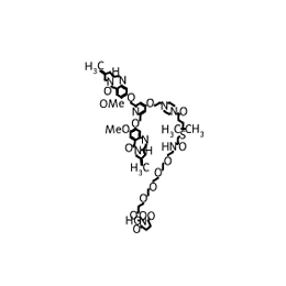 C/C=C1\C[C@H]2C=Nc3cc(OCc4cc(OCCN5CCN(C(=O)CCC(C)(C)SCC(=O)NCCOCCOCCOCCOCCC(=O)O[N+]6(O)C(=O)CCC6=O)CC5)cc(COc5cc6c(cc5OC)C(=O)N5C/C(=C/C)C[C@H]5C=N6)n4)c(OC)cc3C(=O)N2C1